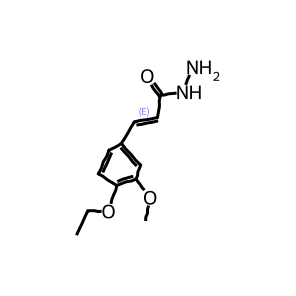 CCOc1ccc(/C=C/C(=O)NN)cc1OC